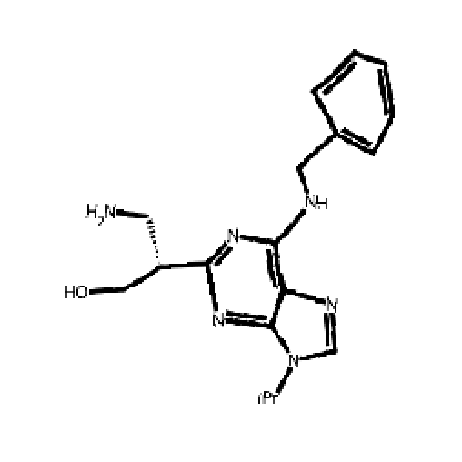 CC(C)n1cnc2c(NCc3ccccc3)nc([C@@H](CN)CO)nc21